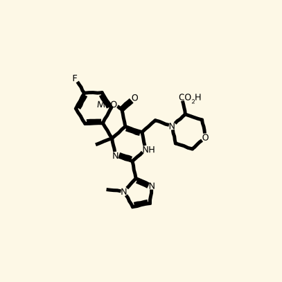 COC(=O)C1=C(CN2CCOCC2C(=O)O)NC(c2nccn2C)=NC1(C)c1ccc(F)cc1